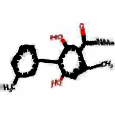 CNC(=O)c1c(C)cc(O)c(-c2cccc(C)c2)c1O